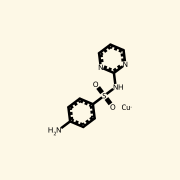 Nc1ccc(S(=O)(=O)Nc2ncccn2)cc1.[Cu]